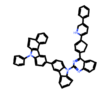 C1=C(C2=CC=C(c3ccccc3)CN2)CCC(c2nc(-n3c4ccccc4c4cc(-c5ccc6c(c5)c5c7ccccc7ccc5n6-c5ccccc5)ccc43)nc3ccccc23)=C1